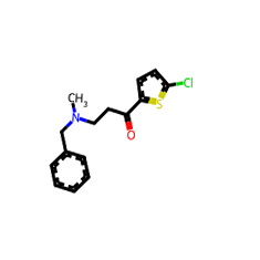 CN(CCC(=O)c1ccc(Cl)s1)Cc1ccccc1